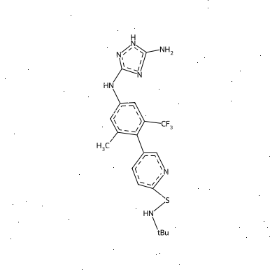 Cc1cc(Nc2n[nH]c(N)n2)cc(C(F)(F)F)c1-c1ccc(SNC(C)(C)C)nc1